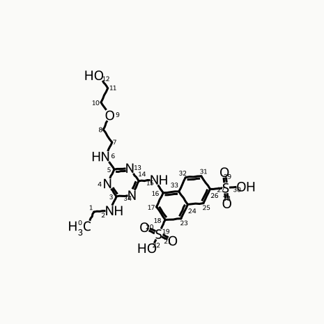 CCNc1nc(NCCOCCO)nc(Nc2cc(S(=O)(=O)O)cc3cc(S(=O)(=O)O)ccc23)n1